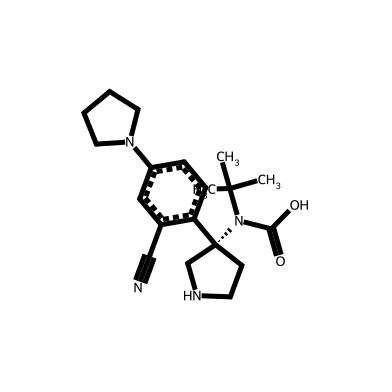 CC(C)(C)N(C(=O)O)[C@]1(c2ccc(N3CCCC3)cc2C#N)CCNC1